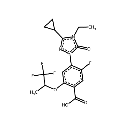 CCn1c(C2CC2)nn(-c2cc(OC(C)C(F)(F)F)c(C(=O)O)cc2F)c1=O